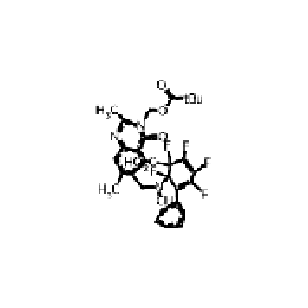 Cc1cc2nc(C)n(COC(=O)C(C)(C)C)c(=O)c2cc1CN(C)C1(F)C(c2ccccc2)=C(F)C(F)=C(F)C1(F)C(=O)O